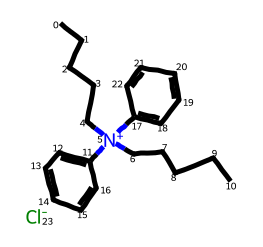 CCCCC[N+](CCCCC)(c1ccccc1)c1ccccc1.[Cl-]